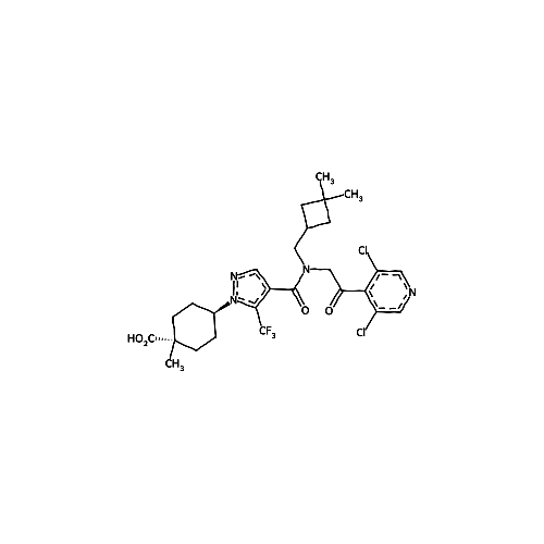 CC1(C)CC(CN(CC(=O)c2c(Cl)cncc2Cl)C(=O)c2cnn([C@H]3CC[C@](C)(C(=O)O)CC3)c2C(F)(F)F)C1